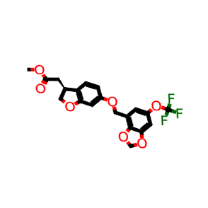 COC(=O)C[C@@H]1COc2cc(OCc3cc(OC(F)(F)F)cc4c3OCO4)ccc21